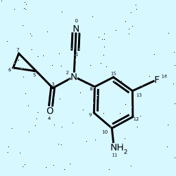 N#CN(C(=O)C1CC1)c1cc(N)cc(F)c1